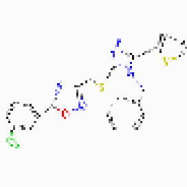 Clc1cccc(-c2nc(CSc3nnc(-c4cccs4)n3Cc3ccccc3)no2)c1